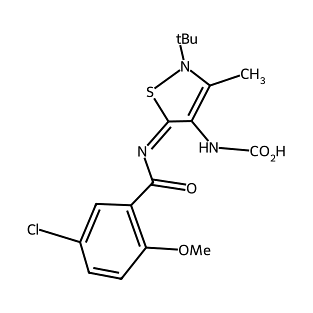 COc1ccc(Cl)cc1C(=O)N=c1sn(C(C)(C)C)c(C)c1NC(=O)O